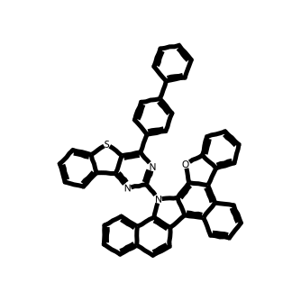 c1ccc(-c2ccc(-c3nc(-n4c5c6ccccc6ccc5c5c6ccccc6c6c7ccccc7oc6c54)nc4c3sc3ccccc34)cc2)cc1